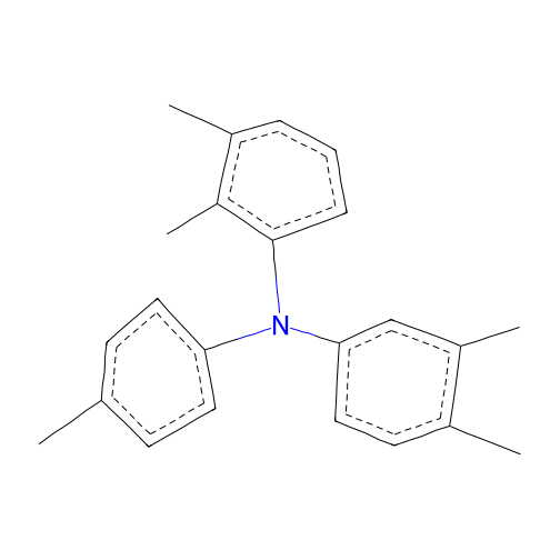 Cc1ccc(N(c2ccc(C)c(C)c2)c2cccc(C)c2C)cc1